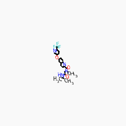 CC(C)NC(=O)CN(C)C(=O)c1ccc2cc(Oc3ccc(C(F)(F)F)nc3)ccc2n1